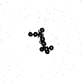 C1=CC(c2cc3c(c4ccccc24)c2ccccc2n3-c2ccc3c(c2)oc2cc(-c4nc(-c5ccc(-c6ccccc6)cc5)c5sc6ccccc6c5n4)ccc23)=CCC1